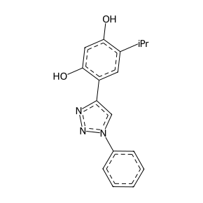 CC(C)c1cc(-c2cn(-c3ccccc3)nn2)c(O)cc1O